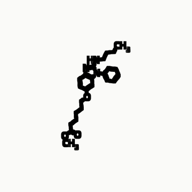 CCCCNc1nc2ccc(OCCCCCC(=O)OC)cc2n1-c1ccccc1